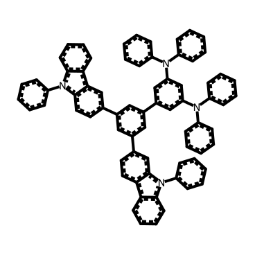 c1ccc(N(c2ccccc2)c2cc(-c3cc(-c4ccc5c(c4)c4ccccc4n5-c4ccccc4)cc(-c4ccc5c6ccccc6n(-c6ccccc6)c5c4)c3)cc(N(c3ccccc3)c3ccccc3)c2)cc1